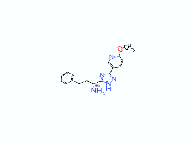 COc1ccc(-c2n[nH]c([C@H](N)CCc3ccccc3)n2)cn1